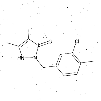 Cc1ccc(Cn2[nH]c(C)c(C)c2=O)cc1Cl